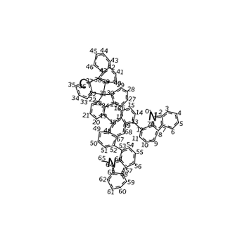 Cn1c2ccccc2c2cccc(-c3cccc4c(-c5cccc6c5-c5ccccc5C65c6ccccc6-c6c5ccc5ccccc65)c5cccc(-c6cccc7c8ccccc8n(C)c67)c5cc34)c21